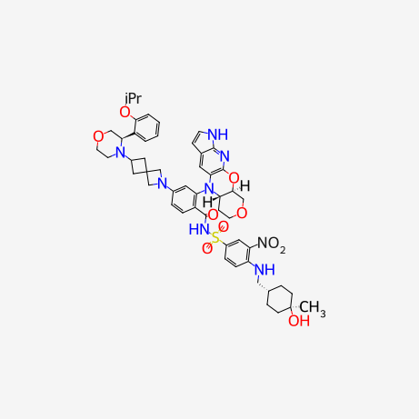 CC(C)Oc1ccccc1[C@@H]1COCCN1C1CC2(C1)CN(c1ccc(C(=O)NS(=O)(=O)c3ccc(NC[C@H]4CC[C@](C)(O)CC4)c([N+](=O)[O-])c3)c(N3c4cc5cc[nH]c5nc4O[C@H]4COCC[C@@H]43)c1)C2